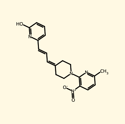 Cc1ccc([N+](=O)[O-])c(N2CCC(=CC=Cc3cccc(O)n3)CC2)n1